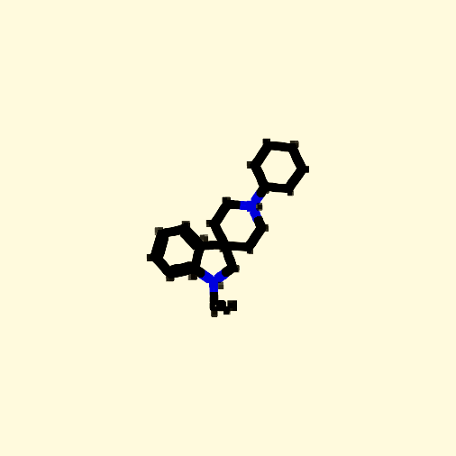 O=C(O)N1CC2(CCN(C3CCCCC3)CC2)c2ccccc21